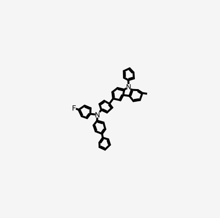 Cc1ccc2c3cc(-c4ccc(N(c5ccc(F)cc5)c5ccc(-c6ccccc6)cc5)cc4)ccc3n(-c3ccccc3)c2c1